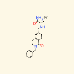 CC(C)C[C@@H](NCc1ccc2c(c1)CCN(Cc1ccccc1)C2=O)C(N)=O